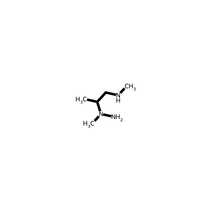 CNCC(C)N(C)N